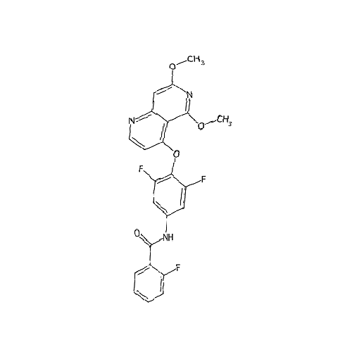 COc1cc2nccc(Oc3c(F)cc(NC(=O)c4ccccc4F)cc3F)c2c(OC)n1